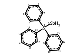 [SbH2][S](c1ccccc1)(c1ccccc1)c1ccccc1